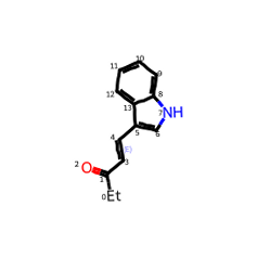 CCC(=O)/C=C/c1c[nH]c2ccccc12